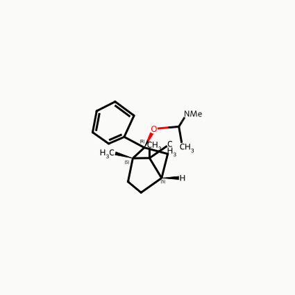 CNC(C)O[C@@]1(c2ccccc2)C[C@@H]2CC[C@@]1(C)C2(C)C